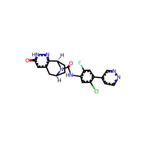 O=C(Nc1cc(Cl)c(-c2ccnnc2)cc1F)N1[C@H]2CC[C@@H]1c1n[nH]c(=O)cc1C2